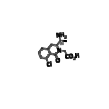 C[C@H](N)c1cc2cccc(Cl)c2c(=O)n1CC(=O)O